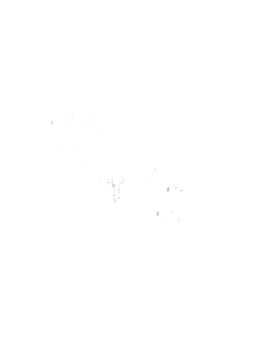 CC(C)OC(=O)[C@@H](N)Cc1cc2ccccc2cc1O